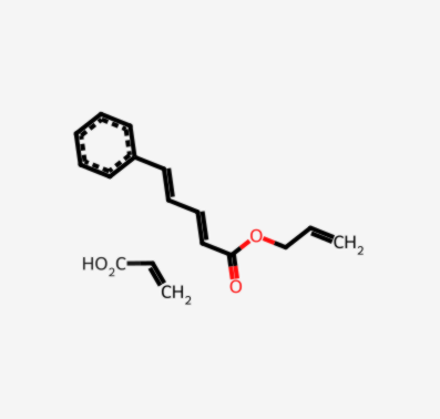 C=CC(=O)O.C=CCOC(=O)C=CC=Cc1ccccc1